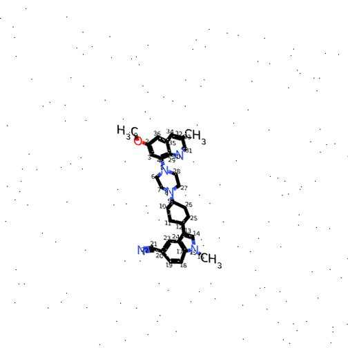 COc1cc(N2CCN(C3CCC(c4cn(C)c5ccc(C#N)cc45)CC3)CC2)c2ncc(C)cc2c1